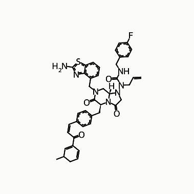 C=CCN(C(=O)NCc1ccc(F)cc1)N1CC(=O)N2[C@@H](Cc3ccc(/C=C\C(=O)C4=CC(C)CC=C4)cc3)C(=O)N(Cc3cccc4sc(N)nc34)C[C@@H]21